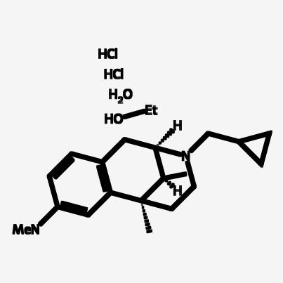 CCO.CNc1ccc2c(c1)[C@]1(C)CCN(CC3CC3)[C@H](C2)[C@H]1C.Cl.Cl.O